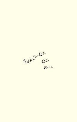 [Er+3].[Nd+3].[O-2].[O-2].[O-2]